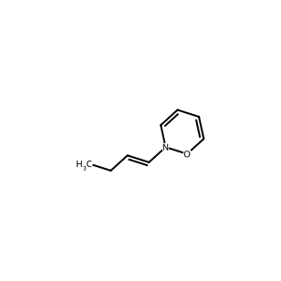 CCC=CN1C=CC=CO1